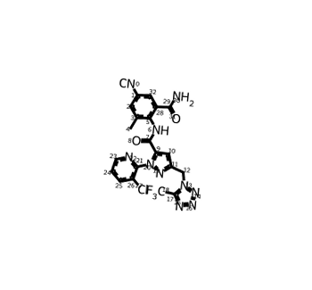 [C-]#[N+]c1cc(C)c(NC(=O)c2cc(Cn3nnnc3C(F)(F)F)nn2-c2ncccc2Cl)c(C(N)=O)c1